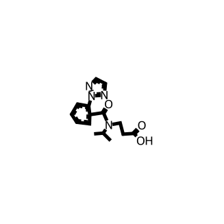 CC(C)N(CCC(=O)O)C(=O)c1ccccc1-n1nccn1